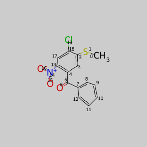 CSc1cc(C(=O)c2ccccc2)c([N+](=O)[O-])cc1Cl